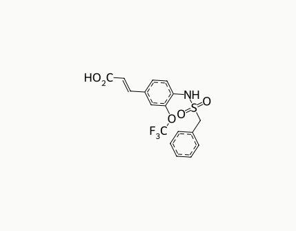 O=C(O)C=Cc1ccc(NS(=O)(=O)Cc2ccccc2)c(OC(F)(F)F)c1